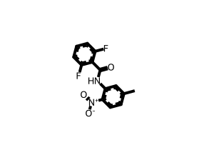 Cc1ccc([N+](=O)[O-])c(NC(=O)c2c(F)cccc2F)c1